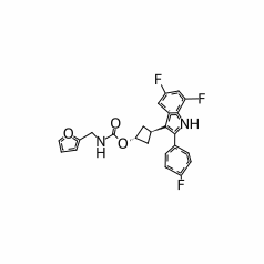 O=C(NCc1ccco1)O[C@H]1C[C@H](c2c(-c3ccc(F)cc3)[nH]c3c(F)cc(F)cc32)C1